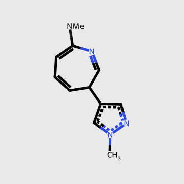 CNC1=CC=CC(c2cnn(C)c2)C=N1